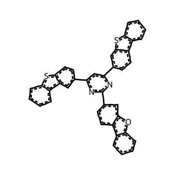 c1ccc2c(c1)oc1cc(-c3nc(-c4ccc5c(c4)sc4ccccc45)cc(-c4ccc5sc6ccccc6c5c4)n3)ccc12